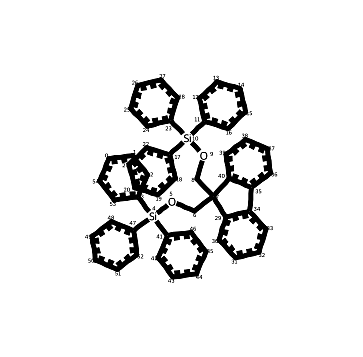 c1ccc([Si](OCC2(CO[Si](c3ccccc3)(c3ccccc3)c3ccccc3)c3ccccc3-c3ccccc32)(c2ccccc2)c2ccccc2)cc1